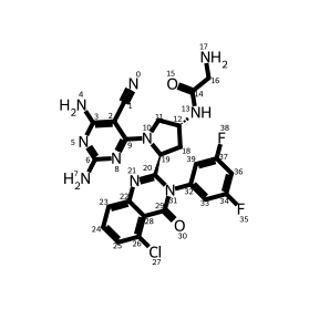 N#Cc1c(N)nc(N)nc1N1C[C@H](NC(=O)CN)C[C@H]1c1nc2cccc(Cl)c2c(=O)n1-c1cc(F)cc(F)c1